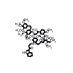 C\C=C(OC)/C(OC)=C(\C=C(C)\C=C/c1cc(OCC)c(OC)cc1N/C=C\C(=O)c1c[nH]c2ccccc12)ONc1cc(C(=O)/C=C\Nc2cc(OC)c(OC)cc2/C=C\c2cc(OC)c(OC)c(OC)c2)ccc1OC